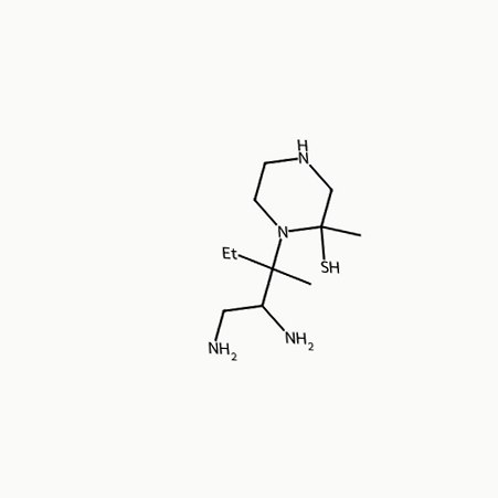 CCC(C)(C(N)CN)N1CCNCC1(C)S